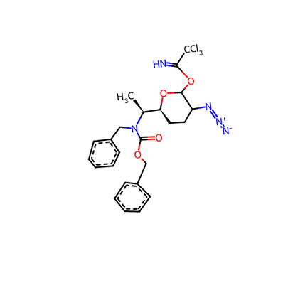 C[C@@H]([C@@H]1CCC(N=[N+]=[N-])C(OC(=N)C(Cl)(Cl)Cl)O1)N(Cc1ccccc1)C(=O)OCc1ccccc1